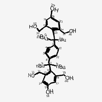 CCCCC(CCCC)(c1ccc(C(CCCC)(CCCC)c2c(CO)cc(O)cc2CO)cc1)c1c(CO)cc(O)cc1CO